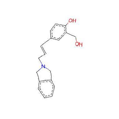 OCc1cc(C=CCN2Cc3ccccc3C2)ccc1O